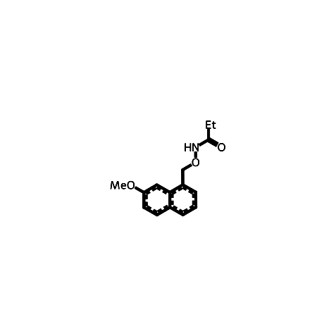 CCC(=O)NOCc1cccc2ccc(OC)cc12